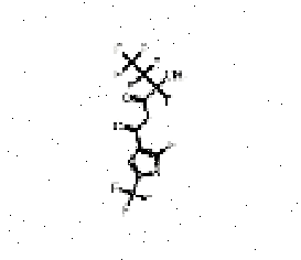 CC(F)(C(=O)CC(=O)c1cc(C(F)(F)F)sc1F)C(F)(F)C(F)(F)F